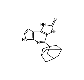 O=c1[nH]c2c(C34CC5CC(CC(C5)C3)C4)nc3[nH]ccc3c2[nH]1